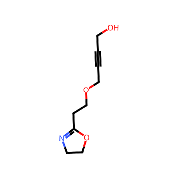 OCC#CCOCCC1=NCCO1